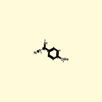 COc1ccc(C(=[N+]=[N-])C(C)=O)cc1